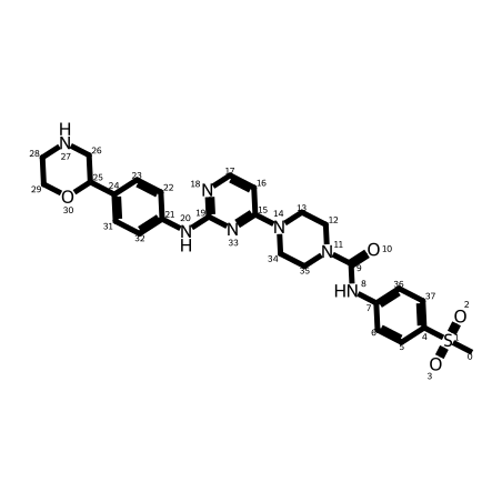 CS(=O)(=O)c1ccc(NC(=O)N2CCN(c3ccnc(Nc4ccc(C5CNCCO5)cc4)n3)CC2)cc1